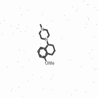 COc1cccc2c1CCCC2N1CCN(C)CC1